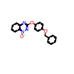 [O-][n+]1nc(Oc2ccc(OCc3ccccc3)cc2)nc2ccccc21